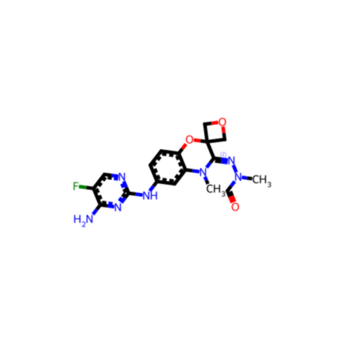 CN(C=O)/N=C1\N(C)c2cc(Nc3ncc(F)c(N)n3)ccc2OC12COC2